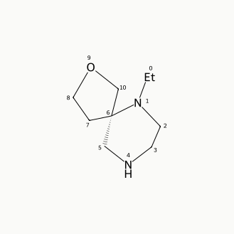 CCN1CCNC[C@@]12CCOC2